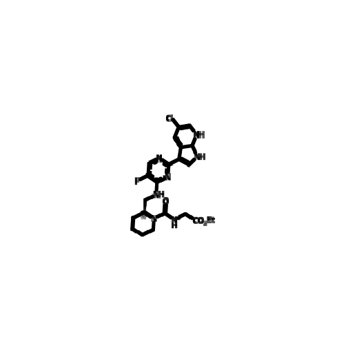 CCOC(=O)CNC(=O)N1CCCC[C@H]1CNc1nc(C2=CNC3NC=C(Cl)C=C23)ncc1F